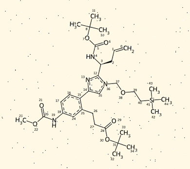 C=CC[C@H](NC(=O)OC(C)(C)C)c1nc(-c2ccc(NC(=O)OC)cc2CCC(=O)OC(C)(C)C)cn1COCC[Si](C)(C)C